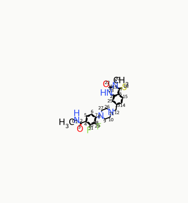 CNC(=O)c1ccc(N2CCN(Cc3ccc4c(=S)n(C)c(=O)[nH]c4c3)CC2)c(F)c1F